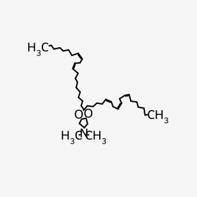 CCCCCC/C=C\C/C=C\C/C=C\CCCCC1(CCCCCCCC/C=C\C/C=C\CCCCCCC)OC2CC(N(C)C)CC2O1